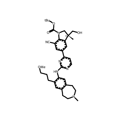 COCCCc1cc2c(cc1Nc1nccc(-c3cc(C#N)c4c(c3)[C@@](C)(CO)CN4C(=O)OC(C)(C)C)n1)CCN(C)CC2